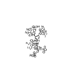 CC(C)[C@H](NC(=O)CN1C[C@H](N2C(=O)C=CC2=O)C[C@H]1COCCS(=O)(=O)O)C(=O)N[C@@H](C)C(=O)Nc1ccc(COC(=O)C(C)(C)C)c(CC[C@@H]2O[C@H](C(=O)O)[C@@H](O)[C@H](O)[C@H]2O)c1